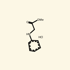 COC(=O)CNc1ccccc1.Cl